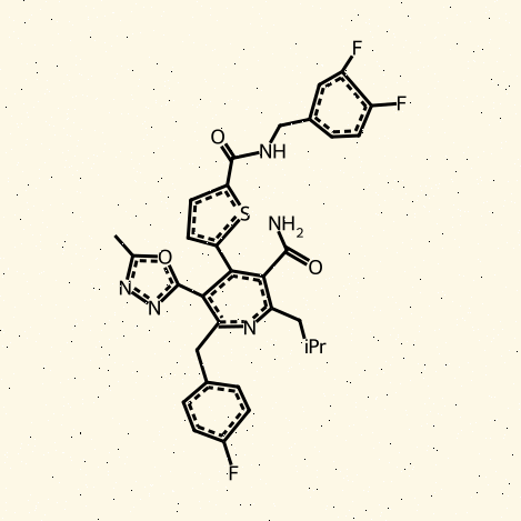 Cc1nnc(-c2c(Cc3ccc(F)cc3)nc(CC(C)C)c(C(N)=O)c2-c2ccc(C(=O)NCc3ccc(F)c(F)c3)s2)o1